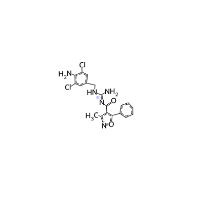 Cc1noc(-c2ccccc2)c1C(=O)/N=C(\N)NCc1cc(Cl)c(N)c(Cl)c1